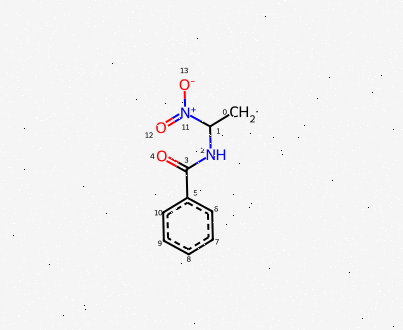 [CH2]C(NC(=O)c1ccccc1)[N+](=O)[O-]